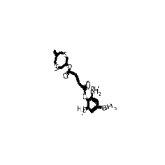 Bc1cc(B)c(OC(=O)CCC(=O)OC2CSCC(=C)CSC2)c(B)c1